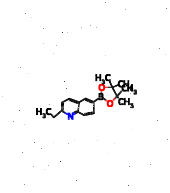 CCc1ccc2cc(B3OC(C)(C)C(C)(C)O3)ccc2n1